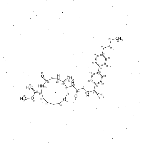 C=C(NCC(=O)NC1COCCCCC(C(=C)OC)NC(=O)CNC1=C)c1ccc(-c2ccc(CCCC)cc2)cc1